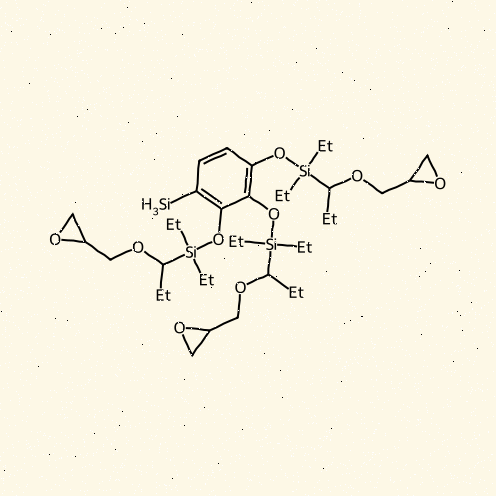 CCC(OCC1CO1)[Si](CC)(CC)Oc1ccc([SiH3])c(O[Si](CC)(CC)C(CC)OCC2CO2)c1O[Si](CC)(CC)C(CC)OCC1CO1